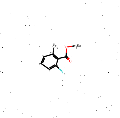 CC(C)(C)OC(=O)c1c(F)cccc1C(F)(F)F